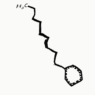 CCCCCC=CC[CH]c1ccccc1